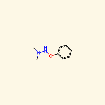 CN(C)NOc1ccccc1